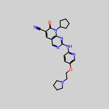 N#Cc1cc2cnc(Nc3ccc(OCCN4CCCC4)cn3)nc2n(C2CCCC2)c1=O